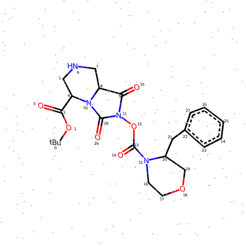 CC(C)(C)OC(=O)C1CNCC2C(=O)N(OC(=O)N3CCOCC3Cc3ccccc3)C(=O)N12